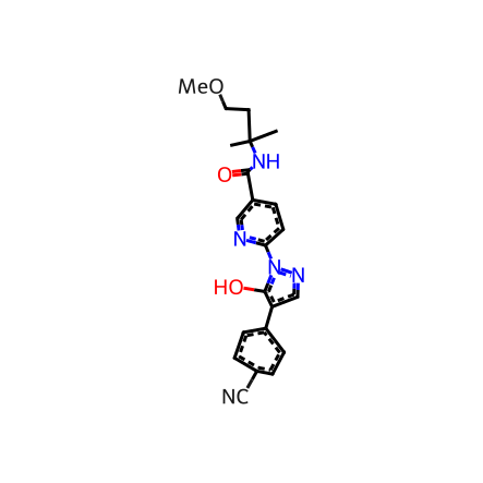 COCCC(C)(C)NC(=O)c1ccc(-n2ncc(-c3ccc(C#N)cc3)c2O)nc1